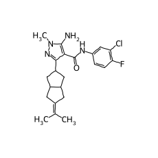 CC(C)=C1CC2CC(c3nn(C)c(N)c3C(=O)Nc3ccc(F)c(Cl)c3)CC2C1